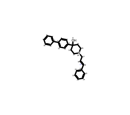 OC1(c2ccc(-c3ccccc3)cc2)CCN(C/C=C/c2ccccc2)CC1